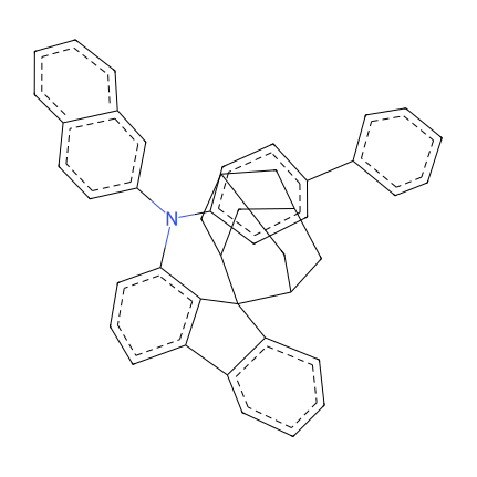 c1ccc(-c2ccc(N(c3ccc4ccccc4c3)c3cccc4c3C3(c5ccccc5-4)C4CC5CC(C4)CC3C5)cc2)cc1